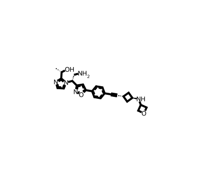 C[C@H](O)c1nccn1[C@H](CN)c1cc(-c2ccc(C#C[C@H]3C[C@H](NC4COC4)C3)cc2)on1